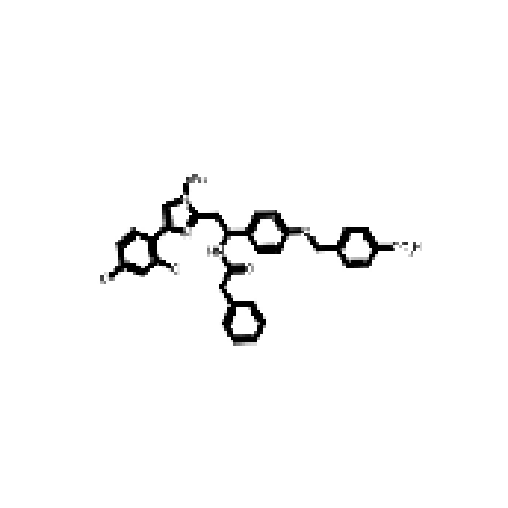 CCCCn1cc(-c2ccc(Cl)cc2Cl)nc1CC(NC(=O)Cc1ccccc1)c1ccc(OCc2ccc(C(=O)O)cc2)cc1